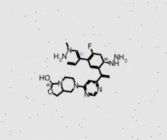 C=C/C(=C\N(C)N)C1=C(F)C[C@@H](NN)C(C(=C)c2cc(N3CCN4C(CO[C@H]4O)C3)ncn2)=C1